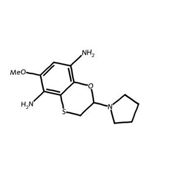 COc1cc(N)c2c(c1N)SCC(N1CCCC1)O2